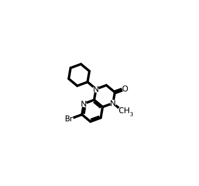 CN1C(=O)CN(C2CCCCC2)c2nc(Br)ccc21